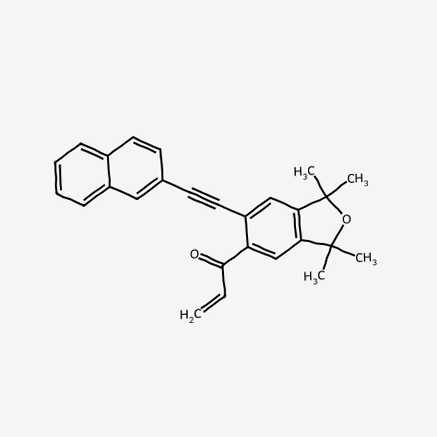 C=CC(=O)c1cc2c(cc1C#Cc1ccc3ccccc3c1)C(C)(C)OC2(C)C